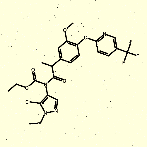 CCOC(=O)N(C(=O)C(C)c1ccc(Oc2ccc(C(F)(F)F)cn2)c(OC)c1)c1cnn(CC)c1Cl